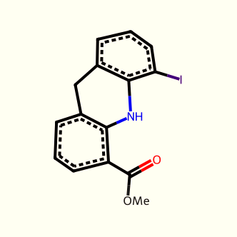 COC(=O)c1cccc2c1Nc1c(I)cccc1C2